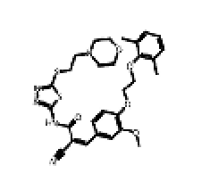 COc1cc(C=C(C#N)C(=O)Nc2nnc(SCCN3CCOCC3)s2)ccc1OCCOc1c(C)cccc1C